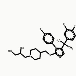 CC(C)(c1ccc(F)c(F)c1)c1cnc(SCC2CCN(CC(O)CO)CC2)n1-c1ccc(F)cc1